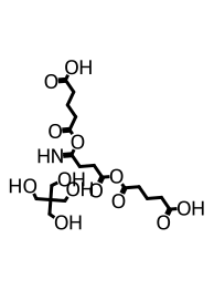 N=C(CCC(=O)OC(=O)CCCC(=O)O)OC(=O)CCCC(=O)O.OCC(CO)(CO)CO